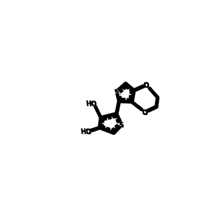 Oc1csc(-c2scc3c2OCCO3)c1O